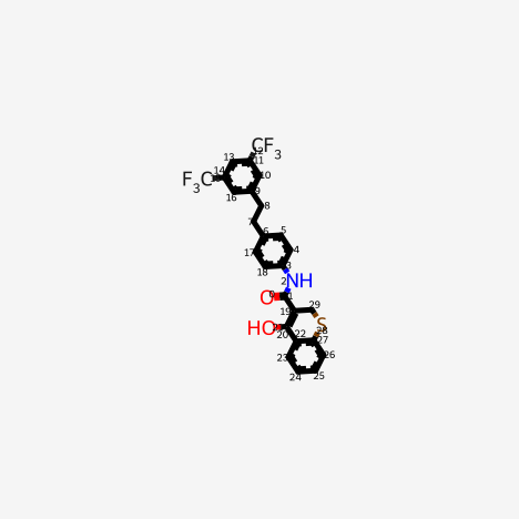 O=C(Nc1ccc(CCc2cc(C(F)(F)F)cc(C(F)(F)F)c2)cc1)C1=C(O)c2ccccc2SC1